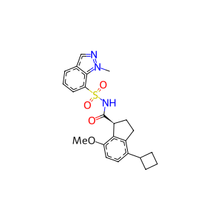 COc1ccc(C2CCC2)c2c1[C@@H](C(=O)NS(=O)(=O)c1cccc3cnn(C)c13)CC2